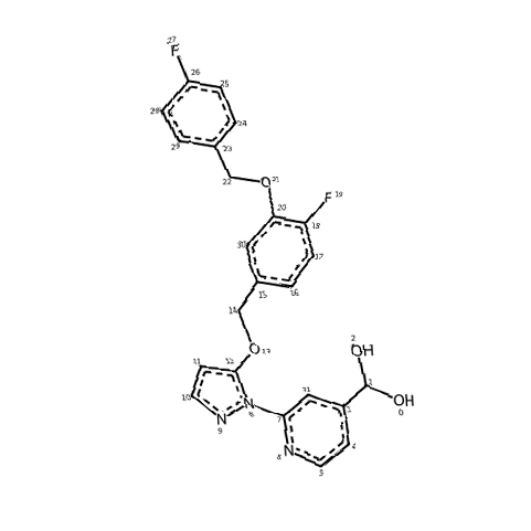 OC(O)c1ccnc(-n2nccc2OCc2ccc(F)c(OCc3ccc(F)cc3)c2)c1